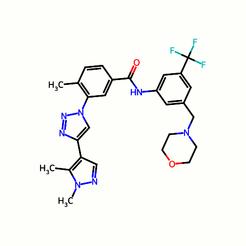 Cc1ccc(C(=O)Nc2cc(CN3CCOCC3)cc(C(F)(F)F)c2)cc1-n1cc(-c2cnn(C)c2C)nn1